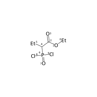 CCOC(=O)C(CC)P(=O)(Cl)Cl